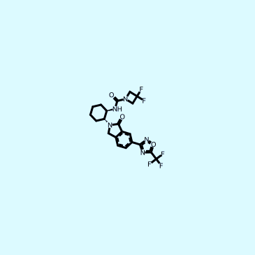 O=C(N[C@@H]1CCCC[C@H]1N1Cc2ccc(-c3noc(C(F)(F)F)n3)cc2C1=O)N1CC(F)(F)C1